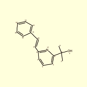 CC(C)(O)c1cccc(C=Cc2ccccc2)n1